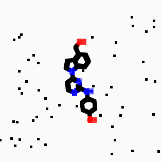 OCc1cccc2c1ccn2-c1ccnc(NC2CCC(O)CC2)n1